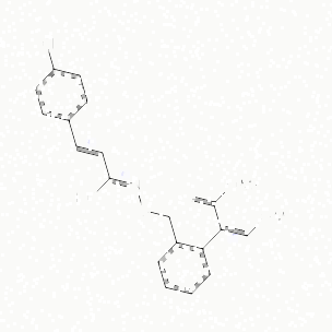 CO/C=C(\C(=O)OC)c1ccccc1CO/N=C(C)/C=C/c1ccc(Cl)cc1